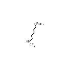 CCCCCCCCCCPC(F)(F)F